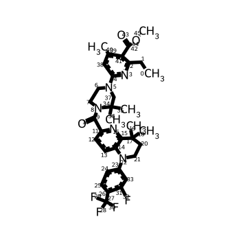 CCc1nc(N2CCN(C(=O)c3ccc4c(n3)C(C)(C)CCN4c3ccc(C(F)(F)F)c(F)c3)C(C)(C)C2)cc(C)c1C(=O)OC